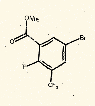 COC(=O)c1cc(Br)cc(C(F)(F)F)c1F